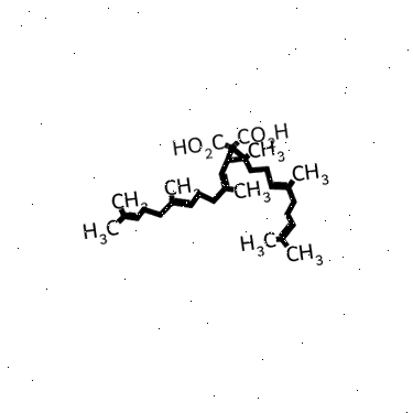 CC(C)=CCC/C(C)=C/CC/C(C)=C/C1C(C)(CC/C=C(\C)CCC=C(C)C)C1(C(=O)O)C(=O)O